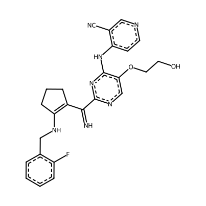 N#Cc1cnccc1Nc1nc(C(=N)C2=C(NCc3ccccc3F)CCC2)ncc1OCCO